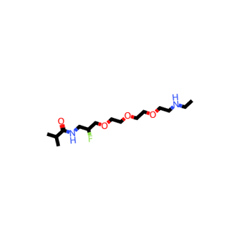 CCNCCOCCOCCOCC(F)CNC(=O)C(C)C